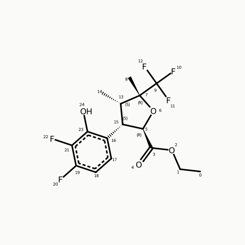 CCOC(=O)[C@@H]1O[C@@](C)(C(F)(F)F)[C@@H](C)[C@H]1c1ccc(F)c(F)c1O